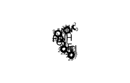 CC(C)N1CCN([C@H]2CCCC(F)(F)[C@@H]2NC(=O)Cc2cccc(-c3ccccc3Cl)c2F)CC1